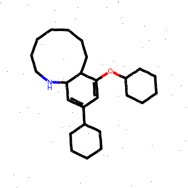 C1=C(C2CCCCC2)C=C(OC2CCCCC2)C2CCCCCCCNC12